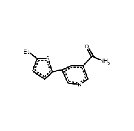 CCc1ccc(-c2cncc(C(N)=O)c2)s1